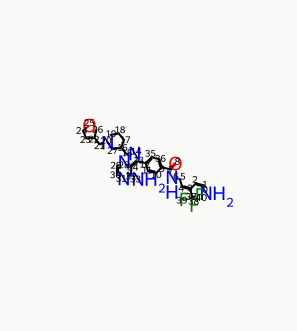 N/C=C\C(=C/CNC(=O)c1ccc(-c2nc(C3CCCN(CC4CCOC4)C3)n3ccnc(N)c23)cc1)C(F)(F)F